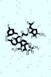 C[C@@H]1Cc2c(C(F)F)nn(CC(=O)N[C@@H](Cc3cc(F)cc(F)c3)c3nc(Cl)ccc3-c3ccc(Cl)c4c(NS(C)(=O)=O)nn(C)c34)c2C1(F)F